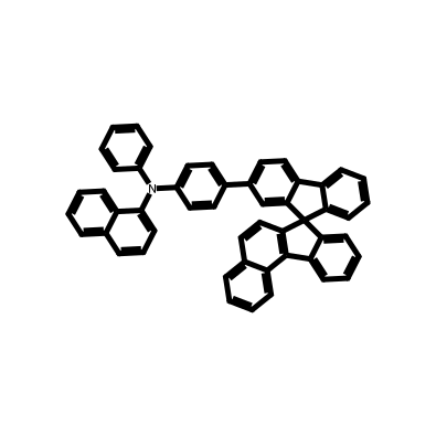 c1ccc(N(c2ccc(-c3ccc4c(c3)C3(c5ccccc5-4)c4ccccc4-c4c3ccc3ccccc43)cc2)c2cccc3ccccc23)cc1